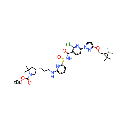 CC(C)(C)OC(=O)N1C[C@@H](CCCNc2cccc([S+]([O-])NC(=O)c3ccc(-n4ccc(OCC5C(C)(C)C5(C)C)n4)nc3Cl)n2)CC1(C)C